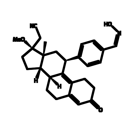 CO[C@@]1(CC#N)CC[C@H]2[C@@H]3CCC4=CC(=O)CCC4=C3[C@@H](c3ccc(/C=N\O)cc3)C[C@@]21C